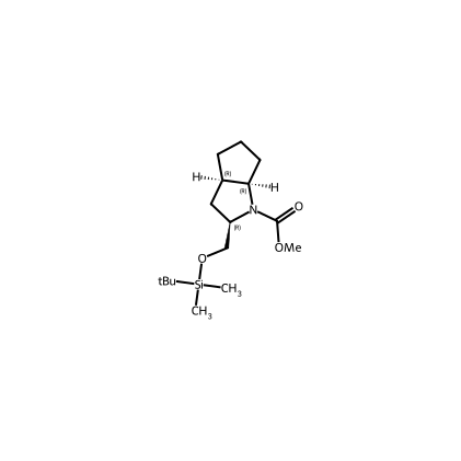 COC(=O)N1[C@@H](CO[Si](C)(C)C(C)(C)C)C[C@H]2CCC[C@H]21